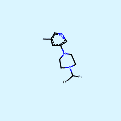 CCC(CC)N1CCN(c2cncc(C)c2)CC1